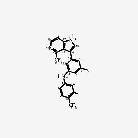 Cc1cc(Nc2ccc(C(F)(F)F)cc2)cc(-c2c[nH]c3ccnc(C(F)(F)F)c23)c1